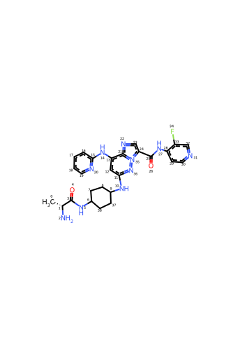 C[C@@H](N)C(=O)NC1CCC(Nc2cc(Nc3ccccn3)c3ncc(C(=O)Nc4ccncc4F)n3n2)CC1